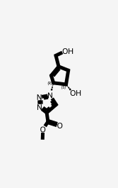 COC(=O)c1cn([C@@H]2C=C(CO)C[C@@H]2O)nn1